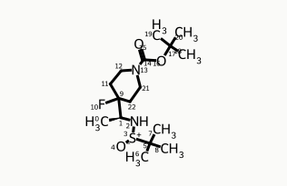 C[C@H](N[S+]([O-])C(C)(C)C)C1(F)CCN(C(=O)OC(C)(C)C)CC1